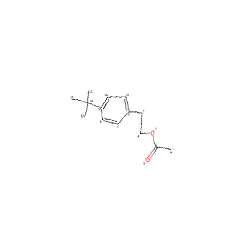 [CH2]C(=O)OCCc1ccc(C(C)(C)C)cc1